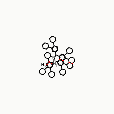 CC(C)C1CCCCC1N(P(c1ccc(C2CCCCC2)c(C2CCCCC2)c1)c1ccc(C2CCCCC2)c(C2CCCCC2)c1)P(c1ccc(C2CCCCC2)c(C2CCCCC2)c1)c1ccc(C2CCCCC2)c(C2CCCCC2)c1